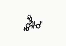 Cn1ccc2c3nc(-c4cccc(F)c4)nc(N4CCOCC4)c3ccc21